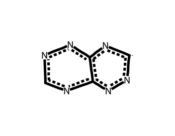 [c]1nnc2ncnnc2n1